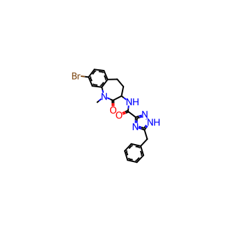 CN1C(=O)C(NC(=O)c2n[nH]c(Cc3ccccc3)n2)CCc2ccc(Br)cc21